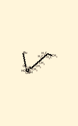 CCC(C)CCCCCCCCCCC(=O)OC[C@H]1O[C@@H](OC(=O)/C(C)=C/C=C/C(C)=C/C=C/C(C)=C/C=C/C=C(C)/C=C/C=C(\C)CCC=C(C)C)[C@H](O)[C@@H](O)[C@@H]1O